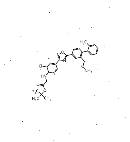 COCc1cc(-c2nc(C3=CC(Cl)C(NCC(=O)OC(C)(C)C)N=C3)no2)ccc1-c1ccccc1C